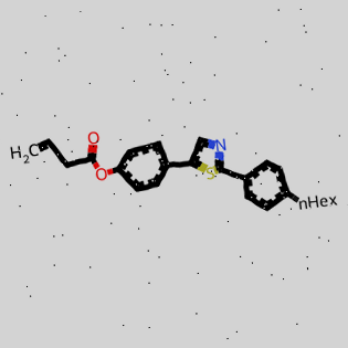 C=CCC(=O)Oc1ccc(-c2cnc(-c3ccc(CCCCCC)cc3)s2)cc1